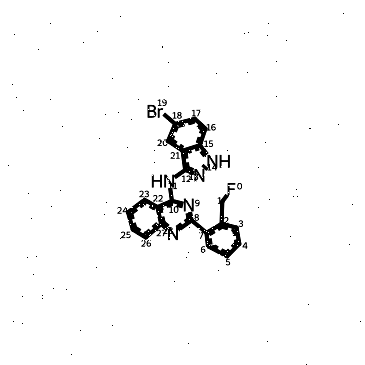 FCc1ccccc1-c1nc(Nc2n[nH]c3ccc(Br)cc23)c2ccccc2n1